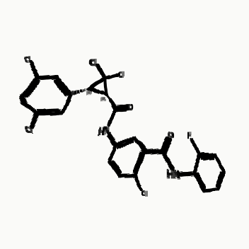 O=C(Nc1ccccc1F)c1cc(NC(=O)[C@H]2[C@H](c3cc(Cl)cc(Cl)c3)C2(Cl)Cl)ccc1Cl